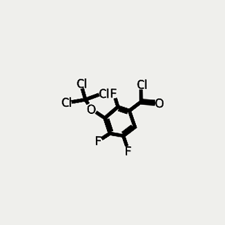 O=C(Cl)c1cc(F)c(F)c(OC(Cl)(Cl)Cl)c1F